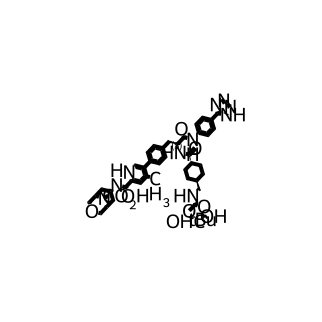 Cc1cc(C(=O)NC2CC3COCC(C2)N3C(=O)O)ncc1-c1ccc(C[C@H](NC(=O)[C@H]2CC[C@H](CNC(=O)OC(C)(C)C)CC2)C(=O)Nc2ccc(-c3nnn[nH]3)cc2)cc1.O=CO